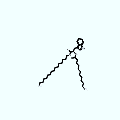 CCCCCCCCCCCCCCCCOC(=O)C(Cc1c[nH]c2ccccc12)NC(=O)CCCCCCCCCCC